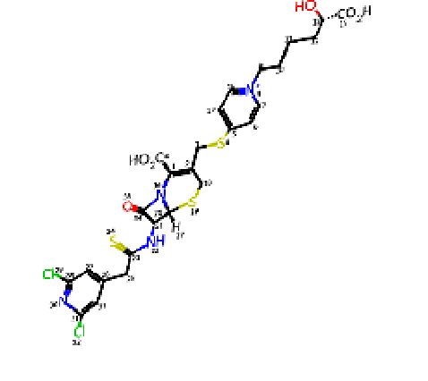 O=C(O)C1=C(CSc2cc[n+](CCCC[C@H](O)C(=O)O)cc2)CS[C@@H]2[C@@H](NC(=S)Cc3cc(Cl)nc(Cl)c3)C(=O)N12